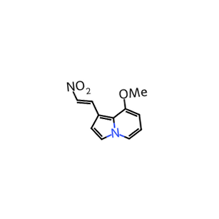 COc1cccn2ccc(C=C[N+](=O)[O-])c12